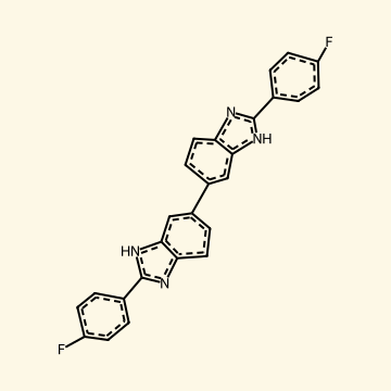 Fc1ccc(-c2nc3ccc(-c4ccc5nc(-c6ccc(F)cc6)[nH]c5c4)cc3[nH]2)cc1